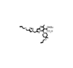 C=CCOCc1cn(Cc2cc3nc(C)c(C(OC(C)(C)C)C(=O)O)c(N4CCC(C)(OCC=C)CC4)n3n2)nn1